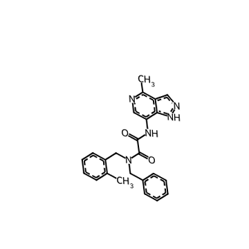 Cc1ccccc1CN(Cc1ccccc1)C(=O)C(=O)Nc1cnc(C)c2cn[nH]c12